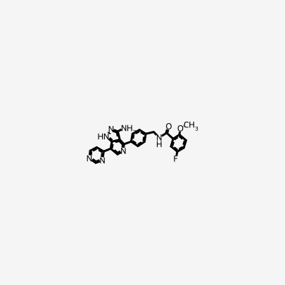 COc1ccc(F)cc1C(=O)NCc1ccc(-c2ncc(-c3ccncn3)c3[nH]nc(N)c23)cc1